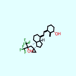 C=C1/C(=C\C=C2/CCC[C@]3(C)[C@@H](C4(CC(O)(C(F)(F)F)C(F)(F)F)CC4)CC[C@@H]23)CCC[C@@H]1O